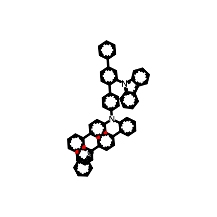 c1ccc(-c2ccc(-c3ccccc3N(c3ccc(-c4ccc(-c5ccccc5)cc4-n4c5ccccc5c5ccccc54)cc3)c3ccc(-c4cccc5c4oc4ccccc45)cc3)cc2)cc1